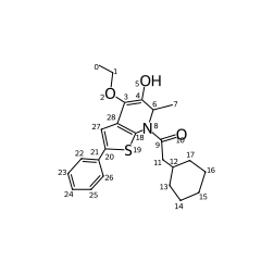 CCOC1=C(O)C(C)N(C(=O)CC2CCCCC2)c2sc(-c3ccccc3)cc21